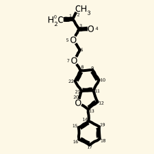 C=C(C)C(=O)OCOc1ccc2cc(-c3ccccc3)oc2c1